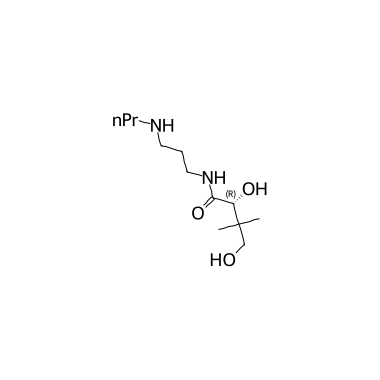 CCCNCCCNC(=O)[C@H](O)C(C)(C)CO